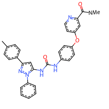 CNC(=O)c1cc(Oc2ccc(NC(=O)Nc3cc(-c4ccc(C)cc4)nn3-c3ccccc3)cc2)ccn1